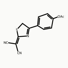 CC(=O)Oc1ccc(C2=NC(=C(C#N)C#N)SC2)cc1